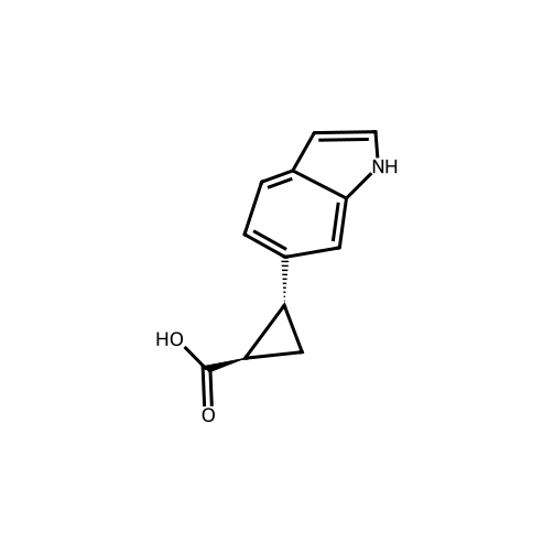 O=C(O)[C@@H]1C[C@H]1c1ccc2cc[nH]c2c1